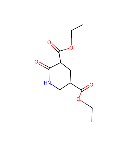 CCOC(=O)C1CNC(=O)C(C(=O)OCC)C1